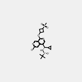 CC(C)(C)[S@+]([O-])N[C@H](c1cnc(OC2CC(S(C)(=O)=O)C2)c2cnc(Cl)cc12)C1CC1